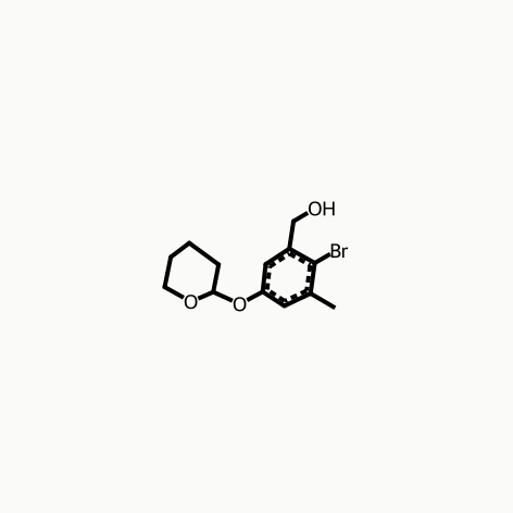 Cc1cc(OC2CCCCO2)cc(CO)c1Br